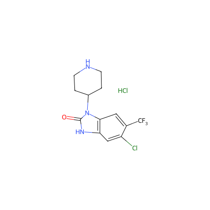 Cl.O=c1[nH]c2cc(Cl)c(C(F)(F)F)cc2n1C1CCNCC1